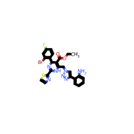 CCOC(=O)C1=C(Cn2cc(-c3ccccc3N)nn2)NC(c2nccs2)=NC1c1ccc(F)cc1Br